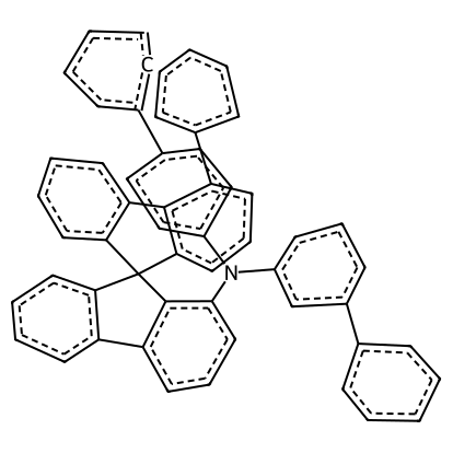 c1ccc(-c2ccc(N(c3cccc(-c4ccccc4)c3)c3cccc4c3C3(c5ccccc5-4)c4ccccc4-c4c(-c5ccccc5)cccc43)cc2)cc1